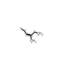 CC/C(C)=C\CI